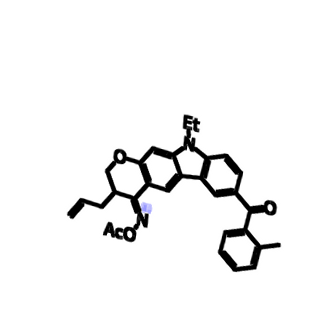 C=CCC1COc2cc3c(cc2/C1=N/OC(C)=O)c1cc(C(=O)c2ccccc2C)ccc1n3CC